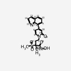 CC(CCn1ccc(-c2cccc3cccnc23)cc1=O)(C(=O)NO)S(C)(=O)=O